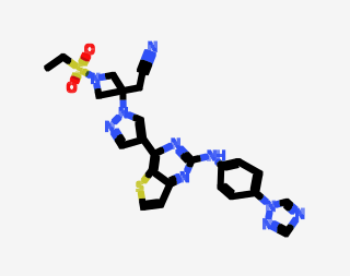 CCS(=O)(=O)N1CC(CC#N)(n2cc(-c3nc(Nc4ccc(-n5cncn5)cc4)nc4ccsc34)cn2)C1